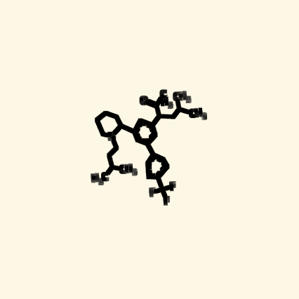 CC(=O)C(CC(C)C)c1cc(-c2ccc(C(F)(F)F)cc2)cc(C2CCCCN2CCC(C)C)c1